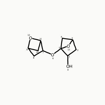 OC1CC2CC1(OC1CC3CC1O3)O2